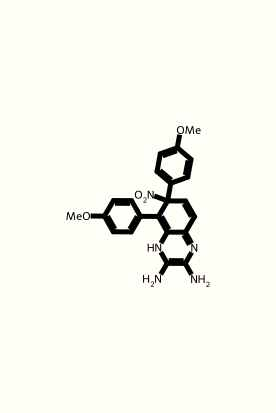 COc1ccc(C2=C3NC(N)=C(N)N=C3C=CC2(c2ccc(OC)cc2)[N+](=O)[O-])cc1